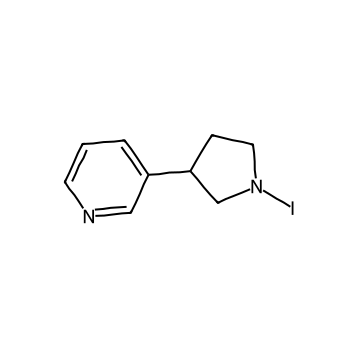 IN1CCC(c2cccnc2)C1